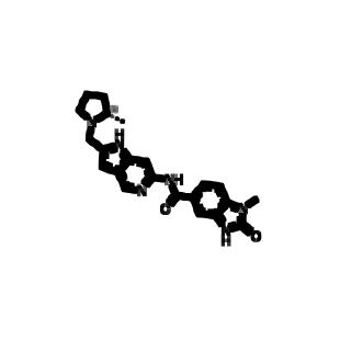 C[C@H]1CCCN1Cc1cc2cnc(NC(=O)c3ccc4c(c3)[nH]c(=O)n4C)cc2[nH]1